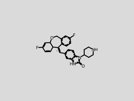 O=c1[nH]c2cc(/C=C3\c4ccc(F)cc4COC4C=C(F)C=CC34)ccc2n1C1CCNCC1